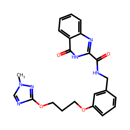 Cn1cnc(OCCCOc2cccc(CNC(=O)c3nc4ccccc4c(=O)[nH]3)c2)n1